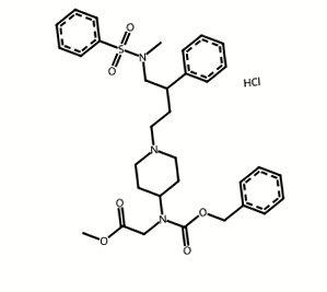 COC(=O)CN(C(=O)OCc1ccccc1)C1CCN(CCC(CN(C)S(=O)(=O)c2ccccc2)c2ccccc2)CC1.Cl